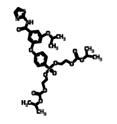 CC(C)OC(=O)OCCOP(=O)(OCCOC(=O)OC(C)C)c1ccc(Oc2cc(OC(C)C)cc(C(=O)Nc3nccs3)c2)cc1